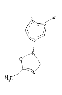 CC1=NCN(c2csc(Br)c2)O1